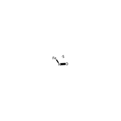 O=[N][Fe].[S]